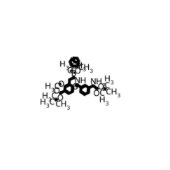 COc1c(CC(NC(=O)c2cccc(C(N)C(=O)OC(C)(C)C)c2)B2OC3CC4CC(C4(C)C)C3(C)O2)cccc1C(=O)OC(C)(C)C